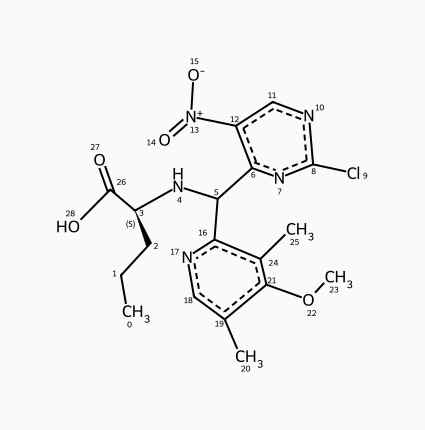 CCC[C@H](NC(c1nc(Cl)ncc1[N+](=O)[O-])c1ncc(C)c(OC)c1C)C(=O)O